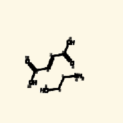 NCCO.O=C(O)C=CC(=O)O